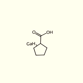 O=C(O)C1CCCC1.[GaH3]